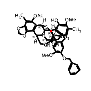 COc1cc2c(cc1OCc1ccccc1)CCN[C@]21CS[C@@H]2c3c(OC(C)=O)c(C)c4c(c3[C@H](COC1=O)N1C2[C@H]2c3c(cc(C)c(OC)c3O)C[C@@H]([C@@H]1C#N)N2C)OCO4